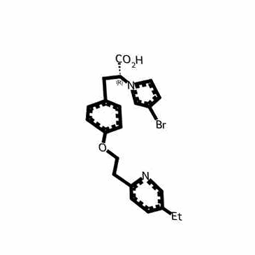 CCc1ccc(CCOc2ccc(C[C@H](C(=O)O)n3ccc(Br)c3)cc2)nc1